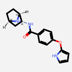 O=C(N[C@@H]1C[C@H]2CC[C@@H]1N2)c1ccc(Oc2ccc[nH]2)cc1